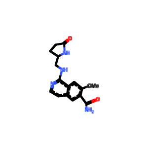 COc1cc2c(NCC3CCC(=O)N3)nccc2cc1C(N)=O